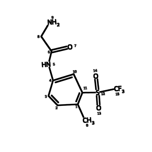 Cc1ccc(NC(=O)CN)cc1S(=O)(=O)C(F)(F)F